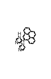 c1c[nH]cn1.c1c[nH]cn1.c1cc2ccc3cccc4ccc(c1)c2c34